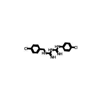 N=C(NCc1ccc(Cl)cc1)NC(=N)Nc1ccc(Cl)cc1